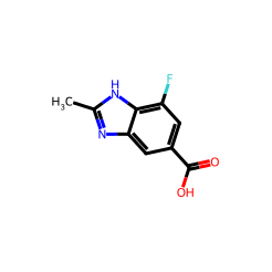 Cc1nc2cc(C(=O)O)cc(F)c2[nH]1